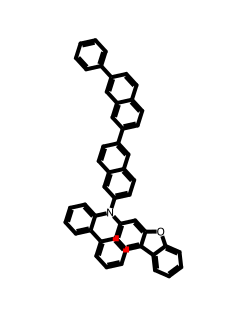 c1ccc(-c2ccc3ccc(-c4ccc5cc(N(c6ccc7c(c6)oc6ccccc67)c6ccccc6-c6ccccc6)ccc5c4)cc3c2)cc1